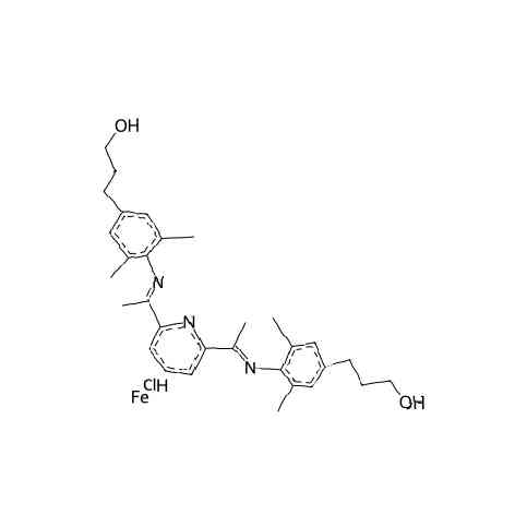 C/C(=N\c1c(C)cc(CCCO)cc1C)c1cccc(/C(C)=N/c2c(C)cc(CCCO)cc2C)n1.Cl.[Fe]